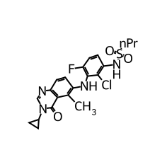 CCCS(=O)(=O)Nc1ccc(F)c(Nc2ccc3ncn(C4CC4)c(=O)c3c2C)c1Cl